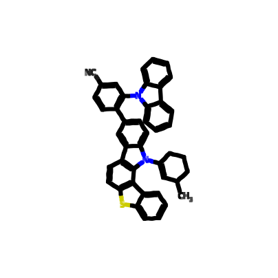 CC1C=C(n2c3ccc(-c4ccc(C#N)cc4-n4c5ccccc5c5ccccc54)cc3c3ccc4sc5ccccc5c4c32)CCC1